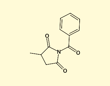 CC1CC(=O)N(C(=O)c2ccccc2)C1=O